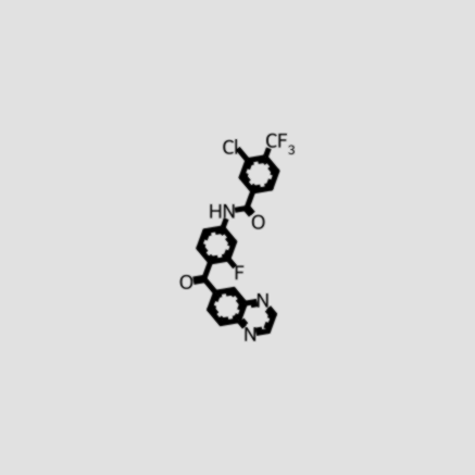 O=C(Nc1ccc(C(=O)c2ccc3nccnc3c2)c(F)c1)c1ccc(C(F)(F)F)c(Cl)c1